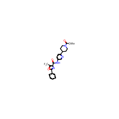 COC(=O)N1CCC(c2ccc(NC(=O)c3nc(-c4ccccc4)oc3C(F)(F)F)cn2)CC1